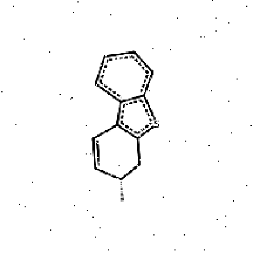 C[C@@H]1C=Cc2c(sc3ccccc23)C1